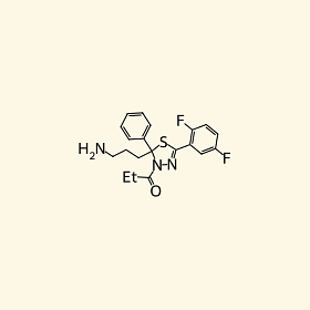 CCC(=O)N1N=C(c2cc(F)ccc2F)SC1(CCCN)c1ccccc1